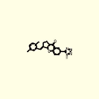 Cc1ccc(C)c(/C=C2\CCc3c2oc2ccc(-c4nnn[nH]4)cc2c3=O)c1